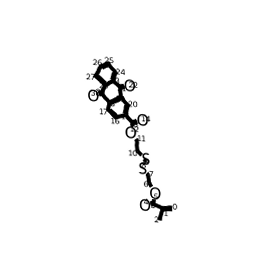 C=C(C)C(=O)OCCSSCCOC(=O)c1ccc2c(c1)C(=O)c1ccccc1C2=O